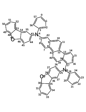 c1ccc(N(c2ccc3c(ccc4c5cccc(N(c6ccccc6)c6ccc7oc8ccccc8c7c6)c5ccc34)c2)c2ccc3oc4ccccc4c3c2)cc1